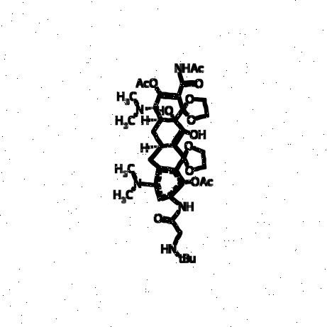 CC(=O)NC(=O)C1=C(OC(C)=O)[C@@H](N(C)C)[C@@H]2C[C@@H]3Cc4c(N(C)C)cc(NC(=O)CNC(C)(C)C)c(OC(C)=O)c4C4(OCCO4)C3=C(O)[C@]2(O)C12OCCO2